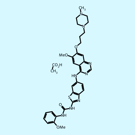 CC(=O)O.COc1ccccc1NC(=O)Nc1nc2ccc(Nc3ncnc4cc(OCCCN5CCN(C)CC5)c(OC)cc34)cc2s1